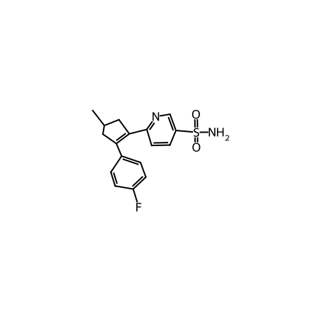 CC1CC(c2ccc(F)cc2)=C(c2ccc(S(N)(=O)=O)cn2)C1